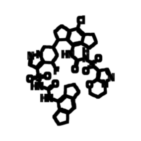 O=C(Nc1c2c(c(Cl)c3c1C(C1CC(F)c4c(S(=O)(=O)NC(=O)Nc5c6c(cc7c5CCC7)CCC6)cnn4C1)CC3)CCC2)NS(=O)(=O)c1cnn2c1OCCC2